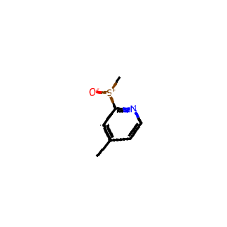 Cc1[c]c([S+](C)[O-])ncc1